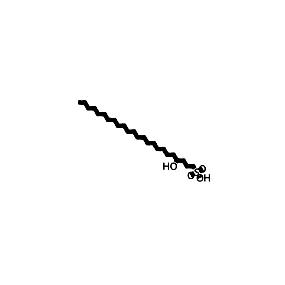 CCCCCCCCCCCCCCCCCCCCC(O)CCCS(=O)(=O)O